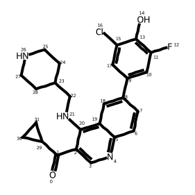 O=C(c1cnc2ccc(-c3cc(F)c(O)c(Cl)c3)cc2c1NCC1CCNCC1)C1CC1